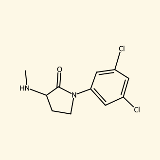 CNC1CCN(c2cc(Cl)cc(Cl)c2)C1=O